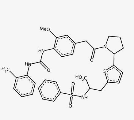 COc1cc(CC(=O)N2CCCC2c2ccc(CC(NS(=O)(=O)c3ccccc3)C(=O)O)s2)ccc1NC(=O)Nc1ccccc1C